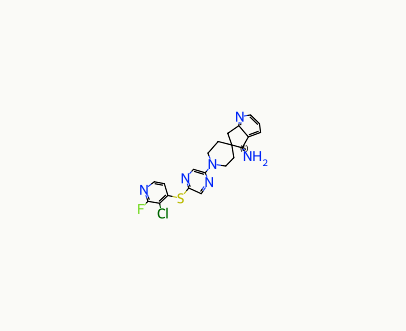 N[C@@H]1c2cccnc2CC12CCN(c1cnc(Sc3ccnc(F)c3Cl)cn1)CC2